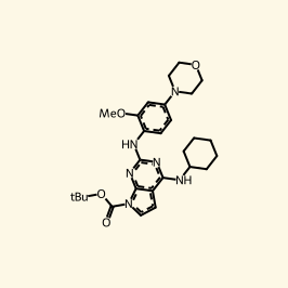 COc1cc(N2CCOCC2)ccc1Nc1nc(NC2CCCCC2)c2ccn(C(=O)OC(C)(C)C)c2n1